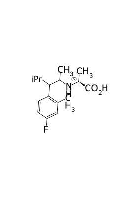 Cc1cc(F)ccc1C(C(C)C)C(C)N[C@@H](C)C(=O)O